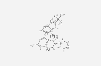 Fc1ccc2c(c1)OCC(C1(F)CCOCC1)C2Nc1ncnc2[nH]c(C(F)(F)F)cc12